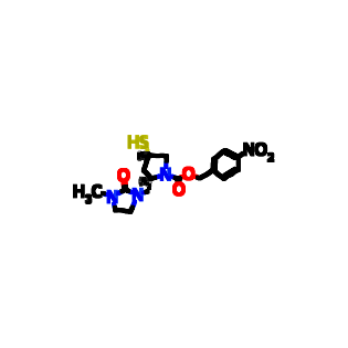 CN1CCN(C[C@@H]2C[C@H](S)CN2C(=O)OCc2ccc([N+](=O)[O-])cc2)C1=O